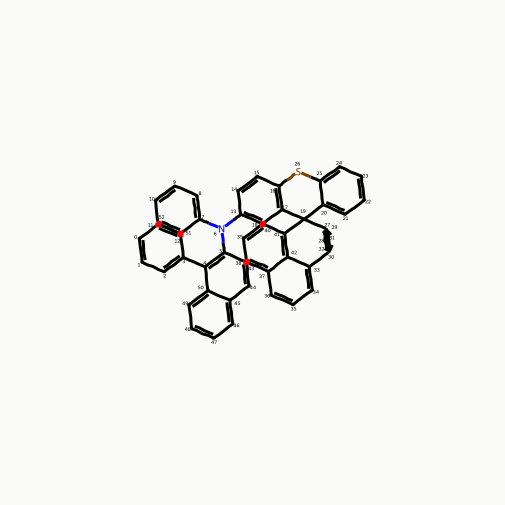 c1ccc(-c2c(N(c3ccccc3)c3ccc4c(c3)C3(c5ccccc5S4)c4ccccc4-c4cccc5cccc3c45)ccc3ccccc23)cc1